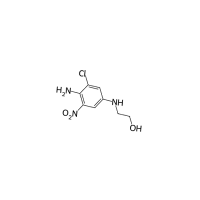 Nc1c(Cl)cc(NCCO)cc1[N+](=O)[O-]